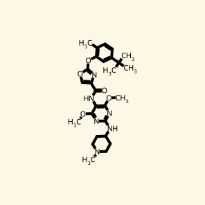 COc1nc(NC2CCN(C)CC2)nc(OC)c1NC(=O)c1coc(Oc2cc(C(C)(C)C)ccc2C)n1